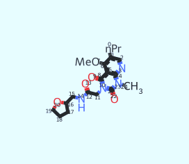 CCCc1cnc2c(c1OC)c(=O)n(CC(=O)NCC1CCCO1)c(=O)n2C